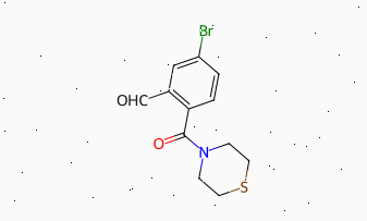 O=Cc1cc(Br)ccc1C(=O)N1CCSCC1